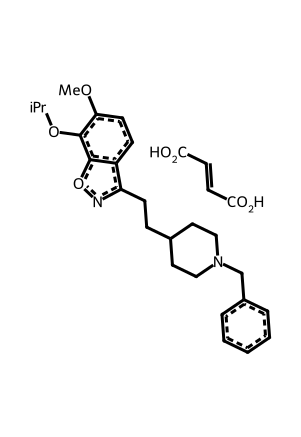 COc1ccc2c(CCC3CCN(Cc4ccccc4)CC3)noc2c1OC(C)C.O=C(O)C=CC(=O)O